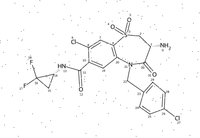 N[C@H]1CS(=O)(=O)c2cc(Cl)c(C(=O)N[C@@H]3CC3(F)F)cc2N(Cc2ccc(Cl)cc2)C1=O